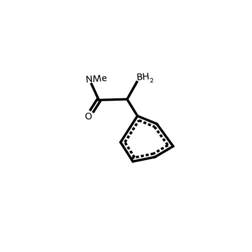 BC(C(=O)NC)c1ccccc1